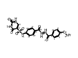 CCCOc1ccc(C(=O)NNC(=O)c2ccc(NS(=O)(=O)c3c[nH]c(=O)[nH]c3=O)cc2)cc1